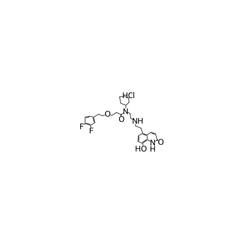 Cl.O=C(CCOCCc1ccc(F)c(F)c1)N(CCNCCc1ccc(O)c2[nH]c(=O)ccc12)C1CCCCC1